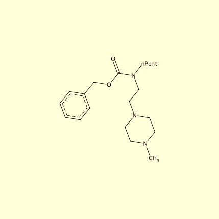 CCCCCN(CCN1CCN(C)CC1)C(=O)OCc1ccccc1